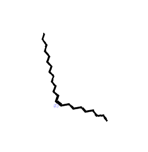 CCCCCCCC/C=C\CCCCCCCCCCCCC